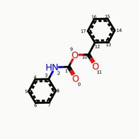 O=C(Nc1ccccc1)OC(=O)c1ccccc1